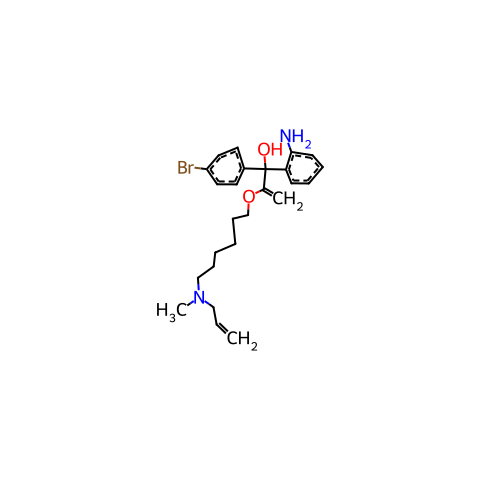 C=CCN(C)CCCCCCOC(=C)C(O)(c1ccc(Br)cc1)c1ccccc1N